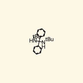 CC(C)(C)NC(NC(C)(C)C)(c1ccccc1)c1ccccc1